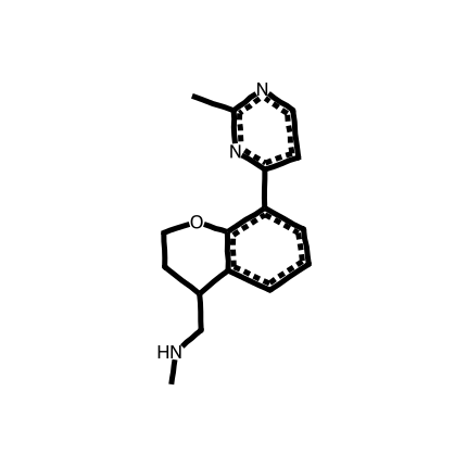 CNCC1CCOc2c(-c3ccnc(C)n3)cccc21